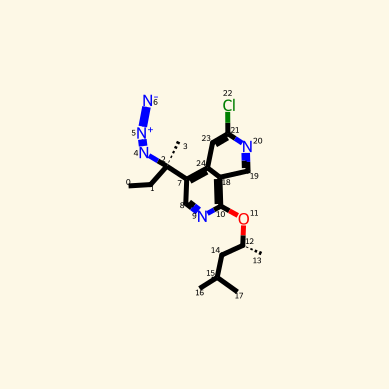 CC[C@@](C)(N=[N+]=[N-])c1cnc(O[C@H](C)C[C](C)C)c2cnc(Cl)cc12